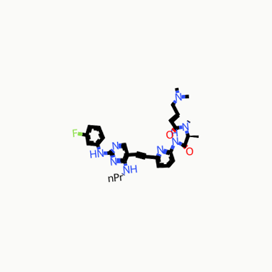 CCCNc1nc(Nc2cccc(F)c2)ncc1C#Cc1cccc(NC(=O)[C@H](C)N(C)C(=O)/C=C/CN(C)C)n1